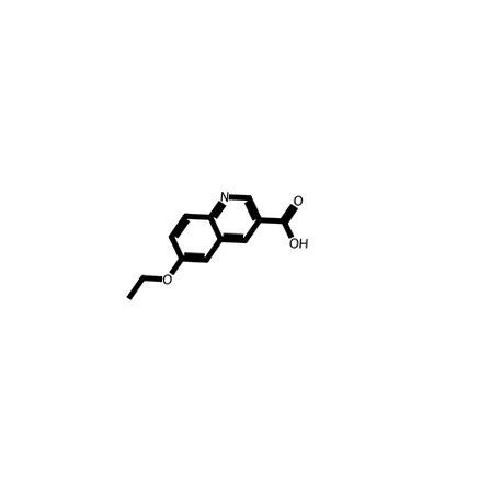 CCOc1ccc2ncc(C(=O)O)cc2c1